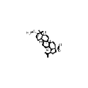 C=C(C)C1CC[C@]2(C(=O)Cl)CC[C@]3(C)[C@H](CC[C@@H]4[C@@]5(C)CC[C@H](OP)C(C)(C)[C@@H]5CC[C@]43C)C12